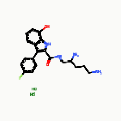 Cl.Cl.NCCCC(N)CNC(=O)c1[nH]c2c(O)cccc2c1-c1ccc(F)cc1